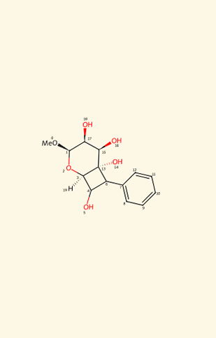 CO[C@@H]1O[C@@H]2C(O)C(c3ccccc3)[C@]2(O)[C@H](O)[C@@H]1O